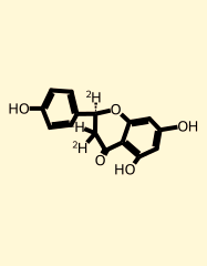 [2H]C1([2H])C(=O)c2c(O)cc(O)cc2O[C@]1([2H])c1ccc(O)cc1